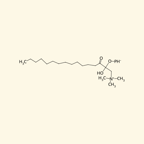 CCCCCCCCCCCCCC(=O)C(O)(C[N+](C)(C)C)O[PH-]